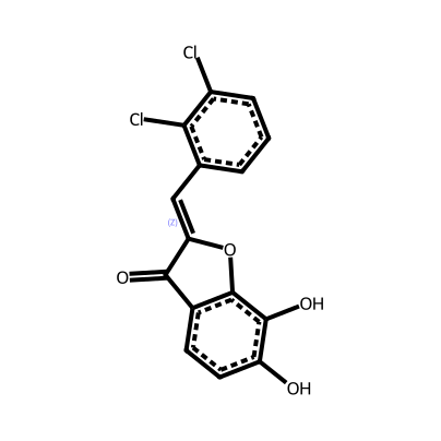 O=C1/C(=C/c2cccc(Cl)c2Cl)Oc2c1ccc(O)c2O